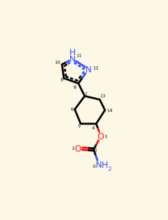 NC(=O)OC1CCC(c2cc[nH]n2)CC1